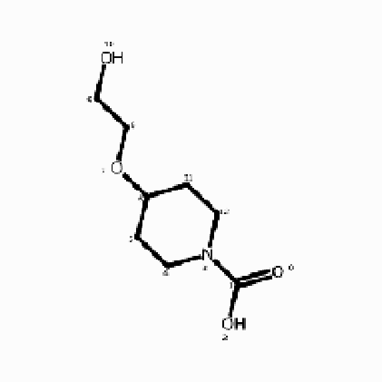 O=C(O)N1CCC(OCCO)CC1